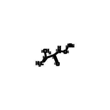 C=C(C)C(=O)NOC(C)(C)C